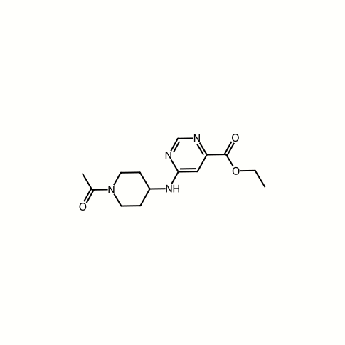 CCOC(=O)c1cc(NC2CCN(C(C)=O)CC2)ncn1